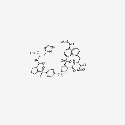 COC(=O)[C@H](Cc1ccccc1)NC(=O)[C@@H]1CCCN1S(=O)(=O)c1ccc(NSC)cc1.Cc1ccc(S(=O)(=O)N2CCC[C@H]2C(=O)N[C@@H](Cc2nc[nH]n2)C(=O)O)cc1